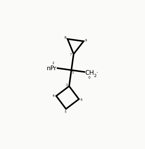 [CH2]C(CCC)(C1CCC1)C1CC1